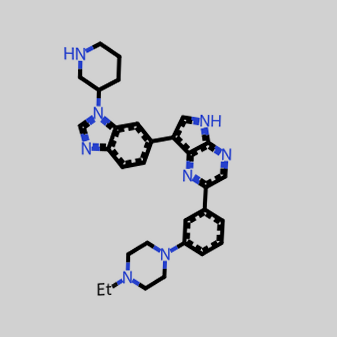 CCN1CCN(c2cccc(-c3cnc4[nH]cc(-c5ccc6ncn(C7CCCNC7)c6c5)c4n3)c2)CC1